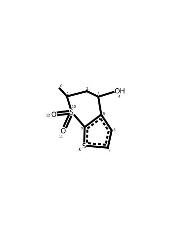 CC1CC(O)c2ccsc2S1(=O)=O